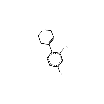 N#Cc1cc(N)ccc1C1=CCOCC1